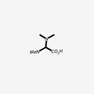 CNC(C(=O)O)N(C)C